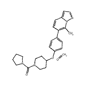 C=O.Cc1c(-c2ccc(OC3CCN(C(=O)N4CCCC4)CC3)cc2)ccc2ccnn12